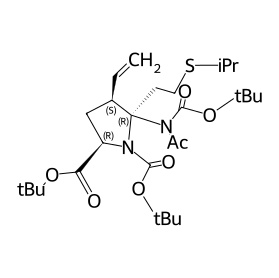 C=C[C@@H]1C[C@H](C(=O)OC(C)(C)C)N(C(=O)OC(C)(C)C)[C@]1(CCSC(C)C)N(C(C)=O)C(=O)OC(C)(C)C